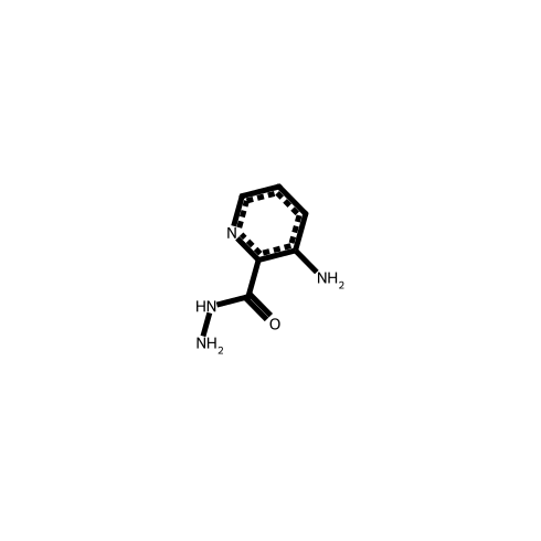 NNC(=O)c1ncccc1N